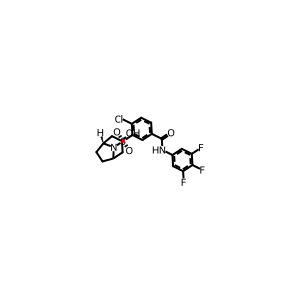 O=C(Nc1cc(F)c(F)c(F)c1)c1ccc(Cl)c(S(=O)(=O)N2C3CC[C@@H]2CC(O)C3)c1